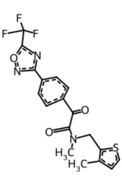 Cc1ccsc1CN(C)C(=O)C(=O)c1ccc(-c2noc(C(F)(F)F)n2)cc1